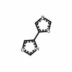 [c]1nc(-c2cnco2)co1